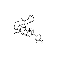 Cc1cc(Cc2cnc(-c3nc4n(c(=O)c3O)CC3CCC4(NC(=O)c4cccnc4)CC3)[nH]2)ccc1F